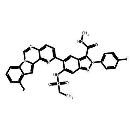 CCS(=O)(=O)Nc1cc2nn(-c3ccc(F)cc3)c(C(=O)NC)c2cc1-c1ccc2ncn3c4cccc(F)c4cc3c2n1